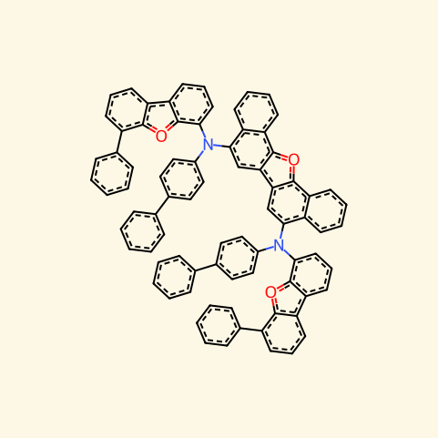 c1ccc(-c2ccc(N(c3cc4c5cc(N(c6ccc(-c7ccccc7)cc6)c6cccc7c6oc6c(-c8ccccc8)cccc67)c6ccccc6c5oc4c4ccccc34)c3cccc4c3oc3c(-c5ccccc5)cccc34)cc2)cc1